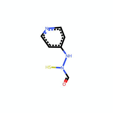 O=CN(S)Nc1ccncc1